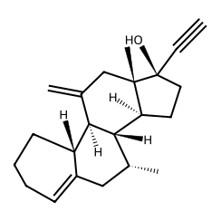 C#C[C@]1(O)CC[C@H]2[C@H]3[C@H](C(=C)C[C@@]21C)[C@H]1CCCC=C1C[C@H]3C